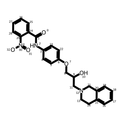 O=C(Nc1ccc(OCC(O)CN2CCc3ccccc3C2)cc1)c1ccccc1[N+](=O)[O-]